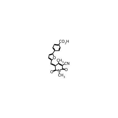 CC1=C(C#N)C(=O)N(C)C(=O)/C1=C/c1ccc(-c2ccc(C(=O)O)cc2)o1